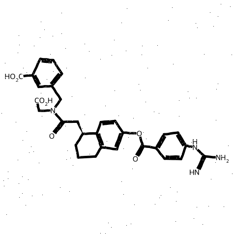 N=C(N)Nc1ccc(C(=O)Oc2ccc3c(c2)CCC[C@H]3CC(=O)N(CC(=O)O)Cc2cccc(C(=O)O)c2)cc1